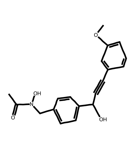 COc1cccc(C#CC(O)c2ccc(CN(O)C(C)=O)cc2)c1